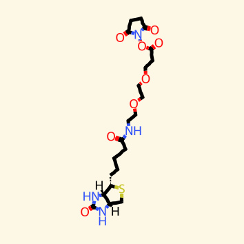 O=C(CCCC[C@@H]1SC[C@@H]2NC(=O)N[C@@H]21)NCCOCCOCCC(=O)ON1C(=O)CCC1=O